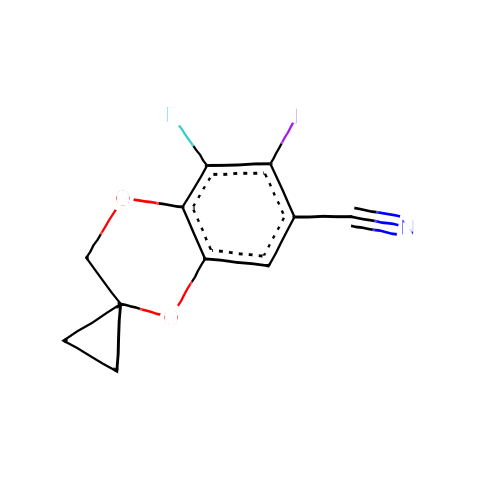 N#Cc1cc2c(c(F)c1I)OCC1(CC1)O2